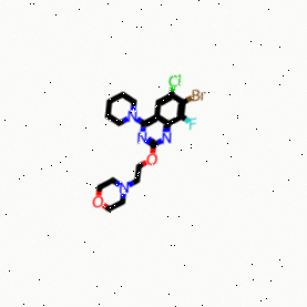 Fc1c(Br)c(Cl)cc2c(N3CCCCC3)nc(OCCN3CCOCC3)nc12